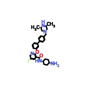 C[C@@H]1CN(Cc2ccc(-c3cccc(Oc4ncc(F)cc4C(=O)N[C@H]4CC[C@H](N)CC4)c3)cc2)C[C@H](C)N1